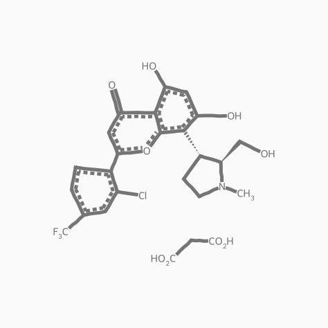 CN1CC[C@H](c2c(O)cc(O)c3c(=O)cc(-c4ccc(C(F)(F)F)cc4Cl)oc23)[C@H]1CO.O=C(O)CC(=O)O